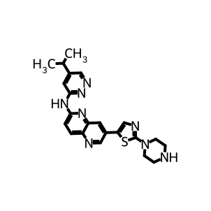 CC(C)c1cnnc(Nc2ccc3ncc(-c4cnc(N5CCNCC5)s4)cc3n2)c1